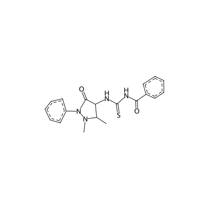 CC1C(NC(=S)NC(=O)c2ccccc2)C(=O)N(c2ccccc2)N1C